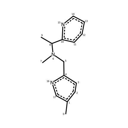 Cc1ccc(CN(C)C(C)c2ccccn2)nc1